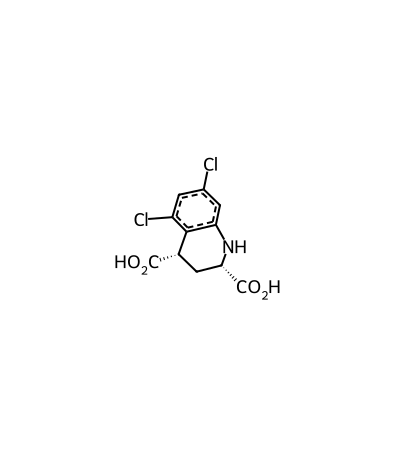 O=C(O)[C@@H]1C[C@H](C(=O)O)c2c(Cl)cc(Cl)cc2N1